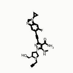 C#CCN1C[C@@H](n2nc(C#Cc3cc4ncn(C5CC5)c4cc3F)c(C(N)=O)c2NC)C[C@@H]1CO